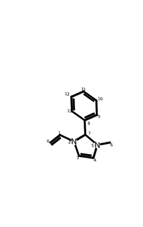 C=CN1C=CN(C)C1c1ccccc1